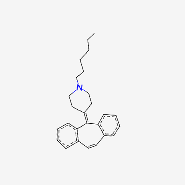 CCCCCCN1CCC(=C2c3ccccc3C=Cc3ccccc32)CC1